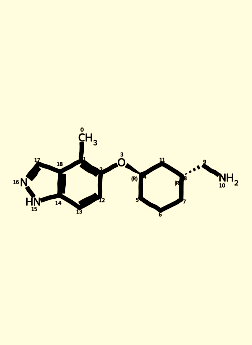 Cc1c(O[C@@H]2CCC[C@@H](CN)C2)ccc2[nH]ncc12